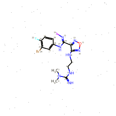 CN(C)C(=N)NCCNc1nonc1/C(=N/I)Nc1ccc(F)c(Br)c1